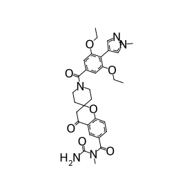 CCOc1cc(C(=O)N2CCC3(CC2)CC(=O)c2cc(C(=O)N(C)C(N)=O)ccc2O3)cc(OCC)c1-c1cnn(C)c1